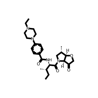 CC[C@H](C)[C@H](NC(=O)c1ccc(N2CCN(CC)CC2)cc1)C(=O)N1C[C@H](C)[C@H]2OCC(=O)[C@H]21